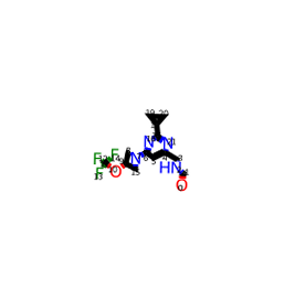 O=CNCc1cc(N2CC(OC(F)(F)F)C2)nc(C2CC2)n1